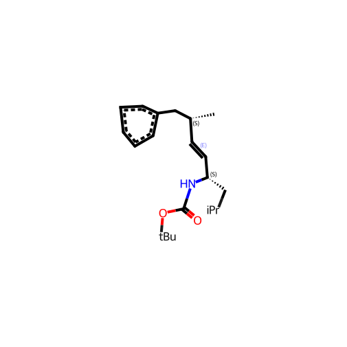 CC(C)C[C@@H](/C=C/[C@@H](C)Cc1ccccc1)NC(=O)OC(C)(C)C